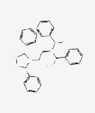 N[C@H](c1ccccc1)P(CCP1[C@@H](c2ccccc2)NN[C@@H]1c1ccccc1)[C@H](N)c1ccccc1